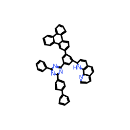 C1=CC(c2cc(-c3ccc4c5ccccc5c5ccccc5c4c3)cc(-c3nc(-c4ccccc4)nc(-c4ccc(-c5ccccc5)cc4)n3)c2)Nc2c1ccc1cccnc21